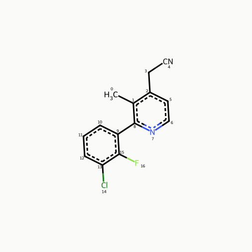 Cc1c(CC#N)ccnc1-c1cccc(Cl)c1F